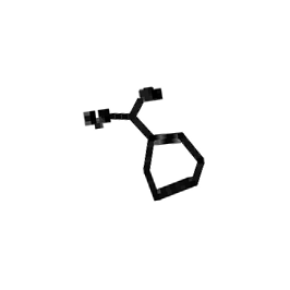 CC(C)(C)C(N)C1=CCC=CC1